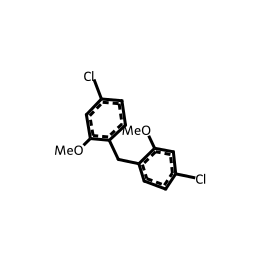 COc1cc(Cl)ccc1Cc1ccc(Cl)cc1OC